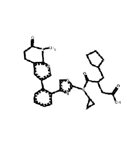 CN1C(=O)CCc2cc(-c3ccccc3-c3csc(N(C(=O)C(CC(=O)O)CC4CCCC4)C4CC4)n3)cnc21